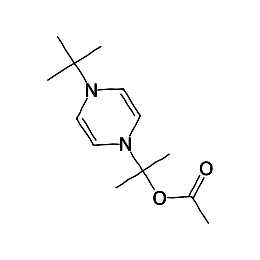 CC(=O)OC(C)(C)N1C=CN(C(C)(C)C)C=C1